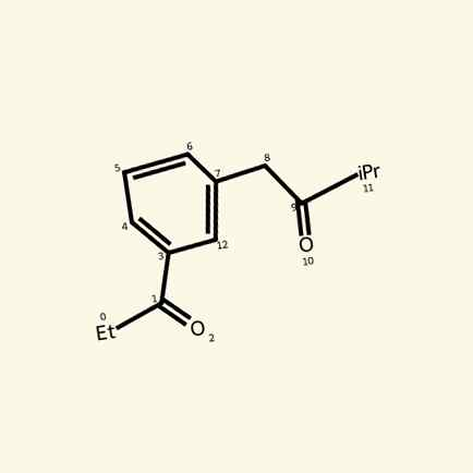 CCC(=O)c1cccc(CC(=O)C(C)C)c1